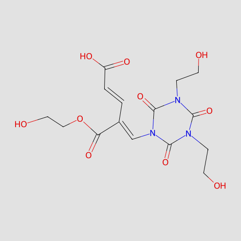 O=C(O)C=CC(=Cn1c(=O)n(CCO)c(=O)n(CCO)c1=O)C(=O)OCCO